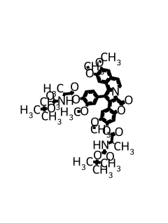 COc1cc2ccn3c(c(-c4ccc(OC(=O)[C@H](C)NC(=O)OC(C)(C)C)c(OC)c4)c4c5cc(OC)c(OC(=O)[C@H](C)NC(=O)OC(C)(C)C)cc5oc(=O)c43)c2cc1OC